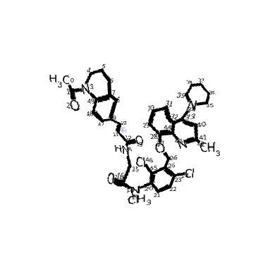 CC(=O)N1CCCc2cc(/C=C/C(=O)NCC(=O)N(C)c3ccc(Cl)c(COc4cccc5c(N6CCCCC6)cc(C)nc45)c3Cl)ccc21